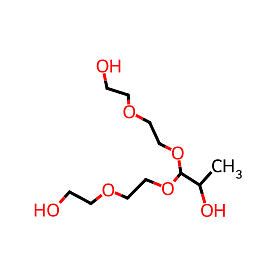 CC(O)C(OCCOCCO)OCCOCCO